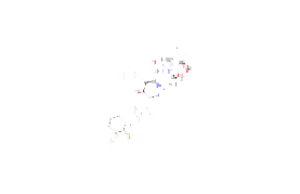 O=C(NCc1cccc(F)c1F)c1cn2c(c(O)c1=O)C(=O)N1[C@@H]3CC[C@@H](C3)O[C@H]1C2